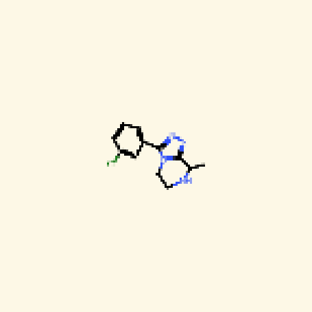 CC1NCCn2c(-c3cccc(Cl)c3)nnc21